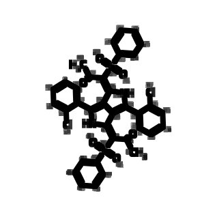 CC(=O)/C(=c1/[nH]c(-c2ccccc2Cl)c2/c(=C(\C(C)=O)S(=O)(=O)c3ccccc3)[nH]c(-c3ccccc3Cl)c12)S(=O)(=O)c1ccccc1